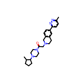 Cc1ccc(-c2ccc3c(c2)CCN(CC(=O)N2CCN(C4CCCC4C)CC2)C3)nn1